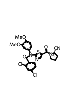 COc1ccc(N(C(=O)c2ccc(Cl)cc2Cl)c2ncc(C(=O)N3CCC[C@@H]3C#N)s2)cc1OC